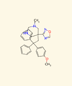 COc1ccc(C(CC2(c3ncon3)CNCN(C)C2)(c2ccccc2)c2ccccc2)cc1